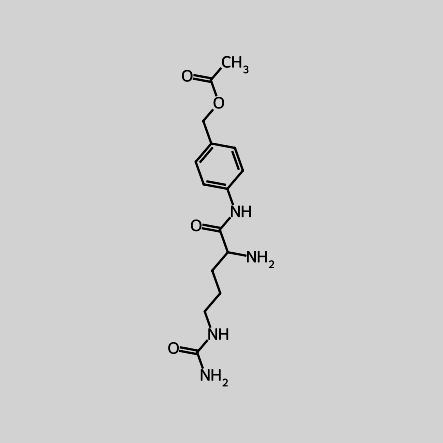 CC(=O)OCc1ccc(NC(=O)C(N)CCCNC(N)=O)cc1